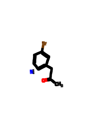 CC(=O)Cc1cccc(Br)c1.[N]